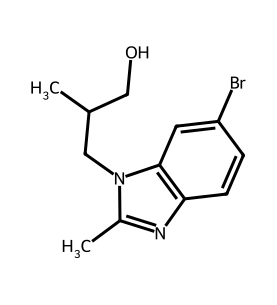 Cc1nc2ccc(Br)cc2n1CC(C)CO